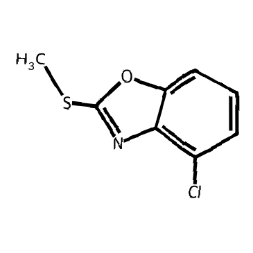 CSc1nc2c(Cl)cccc2o1